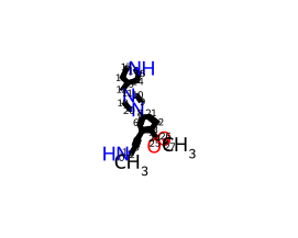 CNCC#Cc1cc(N2CCN(CC3CCNCC3)CC2)ccc1C(=O)OC